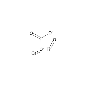 O=C([O-])[O-].[Ca+2].[O]=[Ti]